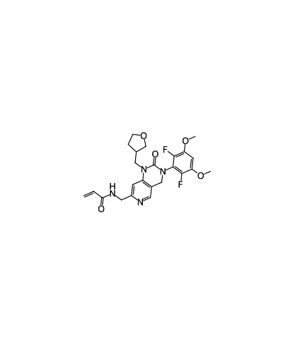 C=CC(=O)NCc1cc2c(cn1)CN(c1c(F)c(OC)cc(OC)c1F)C(=O)N2CC1CCOC1